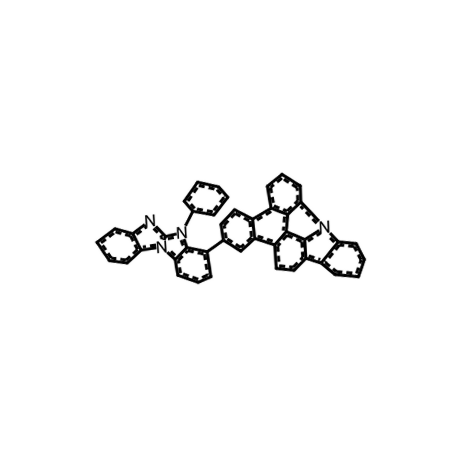 c1ccc(-n2c3c(-c4ccc5c(c4)c4ccc6c7ccccc7n7c8cccc5c8c4c67)cccc3n3c4ccccc4nc23)cc1